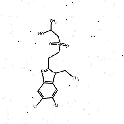 CCn1c(CCS(=O)(=O)CC(C)O)nc2cc(Cl)c(Cl)cc21